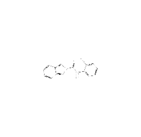 Nc1ccccc1NC(=O)n1cc2ccccc2c1